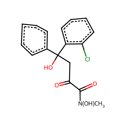 CN(O)C(=O)C(=O)CC(O)(c1ccccc1)c1ccccc1Cl